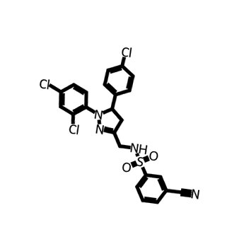 N#Cc1cccc(S(=O)(=O)NCC2=NN(c3ccc(Cl)cc3Cl)C(c3ccc(Cl)cc3)C2)c1